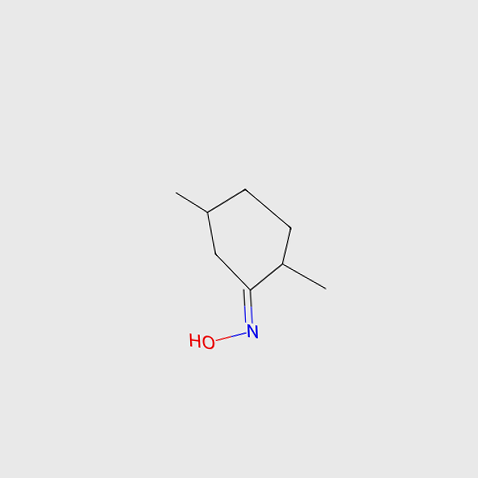 CC1CCC(C)/C(=N/O)C1